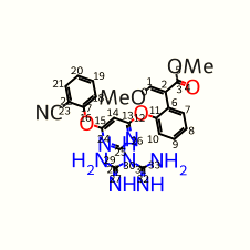 CO/C=C(/C(=O)OC)c1ccccc1Oc1cc(Oc2ccccc2C#N)ncn1.N=C(N)NC(=N)N